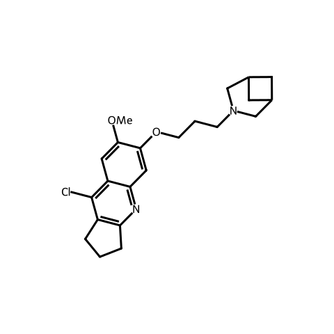 COc1cc2c(Cl)c3c(nc2cc1OCCCN1CC2CC(C2)C1)CCC3